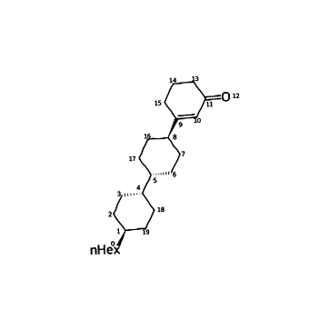 CCCCCC[C@H]1CC[C@H]([C@H]2CC[C@H](C3=CC(=O)CCC3)CC2)CC1